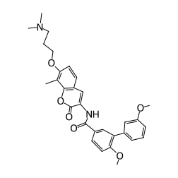 COc1cccc(-c2cc(C(=O)Nc3cc4ccc(OCCCN(C)C)c(C)c4oc3=O)ccc2OC)c1